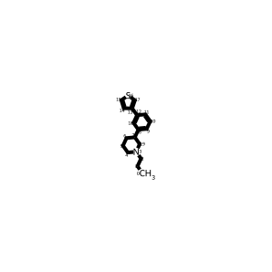 CCCN1CCCC(c2cccc(-c3ccsc3)c2)C1